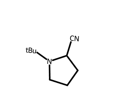 CC(C)(C)N1CCCC1C#N